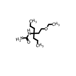 CCCC(CCC)(CCOCC)NC(N)=O